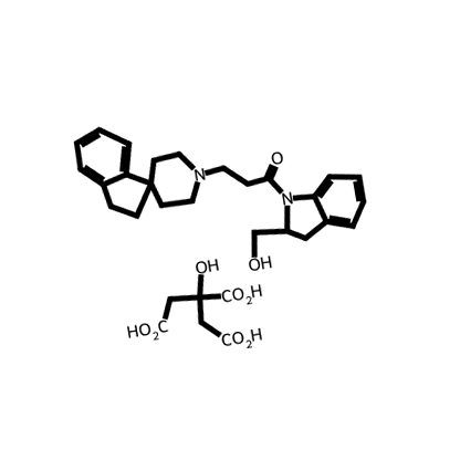 O=C(CCN1CCC2(CCc3ccccc32)CC1)N1c2ccccc2CC1CO.O=C(O)CC(O)(CC(=O)O)C(=O)O